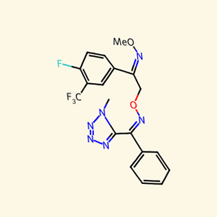 CO/N=C(/CO/N=C(/c1ccccc1)c1nnnn1C)c1ccc(F)c(C(F)(F)F)c1